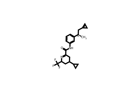 C[C@H](CC1=CC1)c1cccc(NC(=O)C2=NC(C(F)(F)F)CC(C3CC3)C2)c1